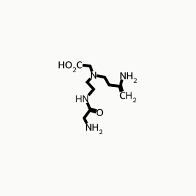 C=C(N)CCN(CCNC(=O)CN)CC(=O)O